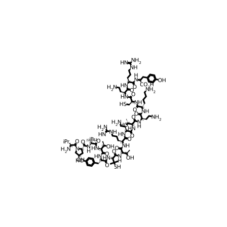 CC[C@H](C)[C@H](NC(=O)[C@@H]1C[C@@H](O)CN1C(=O)[C@@H](N)C(C)C)C(=O)N[C@H](C(=O)N[C@@H](Cc1ccc(O)cc1)C(=O)N[C@H](C(=O)N[C@H](C(=O)N[C@@H](CCCNC(=N)N)C(=O)N[C@@H](CCN)C(=O)N[C@H](C(=O)N[C@H](CCN)C(=O)N[C@@H](CCCCN)C(=O)N[C@@H](CS)C(=O)N[C@@H](CCN)C(=O)N[C@@H](CCCNC(=N)N)C(=O)N[C@@H](Cc1ccc(O)cc1)C(=O)O)[C@@H](C)O)[C@@H](C)O)C(C)(C)S)[C@@H](C)O